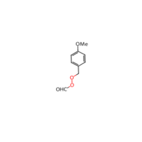 COc1ccc(COOC=O)cc1